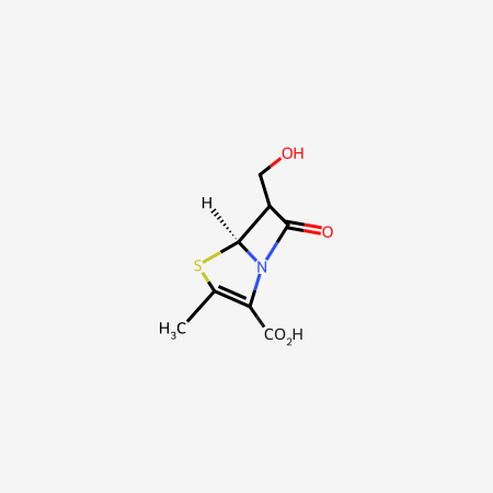 CC1=C(C(=O)O)N2C(=O)C(CO)[C@@H]2S1